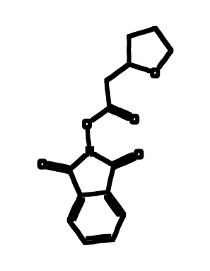 O=C(CC1CCCO1)ON1C(=O)c2ccccc2C1=O